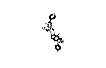 C[C@H]1C2=CNN(c3ccc(F)cc3)C2=CC2=C1[C@@H](CN(CC(O)c1ccncc1)S(=O)(=O)CC(F)(F)F)CC2